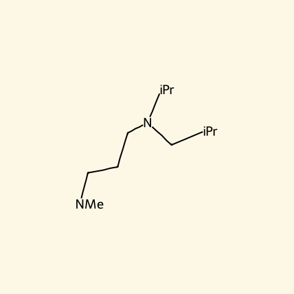 CNCCCN(CC(C)C)C(C)C